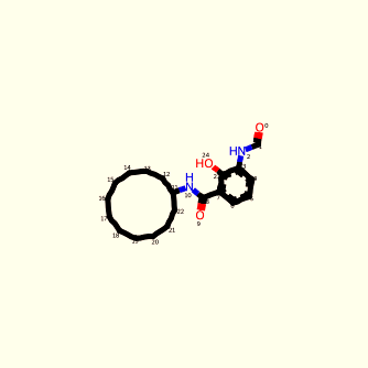 O=CNc1cccc(C(=O)NC2CCCCCCCCCCC2)c1O